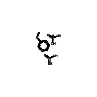 CSc1cccnc1.O=[PH](O)O.O=[PH](O)O